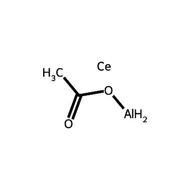 CC(=O)[O][AlH2].[Ce]